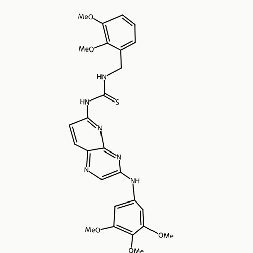 COc1cccc(CNC(=S)Nc2ccc3ncc(Nc4cc(OC)c(OC)c(OC)c4)nc3n2)c1OC